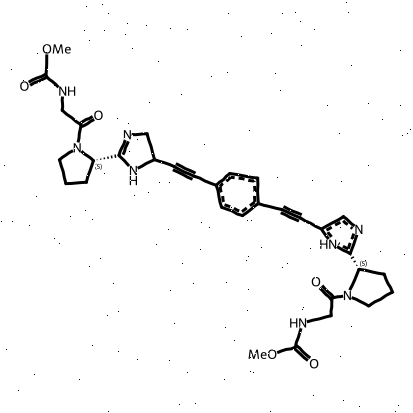 COC(=O)NCC(=O)N1CCC[C@H]1C1=NCC(C#Cc2ccc(C#Cc3cnc([C@@H]4CCCN4C(=O)CNC(=O)OC)[nH]3)cc2)N1